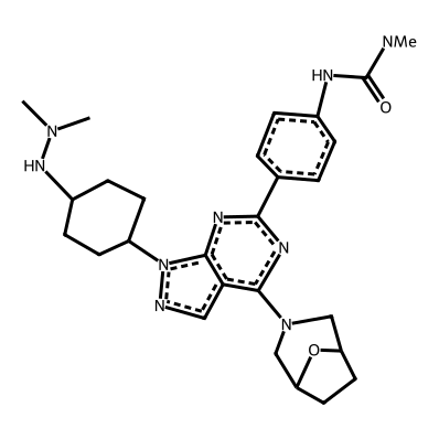 CNC(=O)Nc1ccc(-c2nc(N3CC4CCC(C3)O4)c3cnn(C4CCC(NN(C)C)CC4)c3n2)cc1